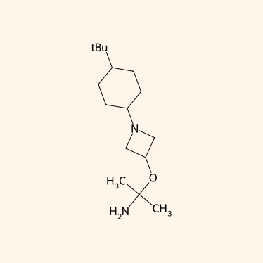 CC(C)(N)OC1CN(C2CCC(C(C)(C)C)CC2)C1